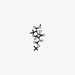 COC(=O)[C@H]1C(C)(C)S[C@@H]2[C@H](NC(=O)OC(C)(C)C)C(=O)[N@@+]21[O-]